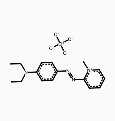 CCN(CC)c1ccc(/N=N/c2cccc[n+]2C)cc1.[O-][Cl+3]([O-])([O-])[O-]